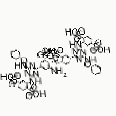 Nc1cc(-c2nc(NOc3ccccc3)nc(Nc3cc(S(=O)(=O)O)ccc3S(=O)(=O)O)n2)cc(S(=O)(=O)O)c1C=Cc1ccc(-c2nc(NOc3ccccc3)nc(Nc3cc(S(=O)(=O)O)ccc3S(=O)(=O)O)n2)cc1S(=O)(=O)O